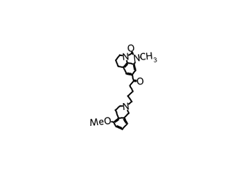 COc1cccc2c1CCN(CCCCC(=O)c1cc3c4c(c1)n(C)c(=O)n4CCC3)C2